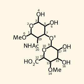 COC1OC(O)C(O)C(OC2OC(C(=O)O)C(OC)C(O)C2O)C1NC(C)=O